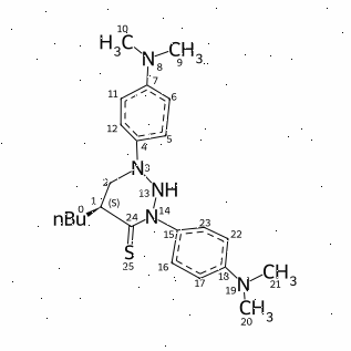 CCCC[C@H]1CN(c2ccc(N(C)C)cc2)NN(c2ccc(N(C)C)cc2)C1=S